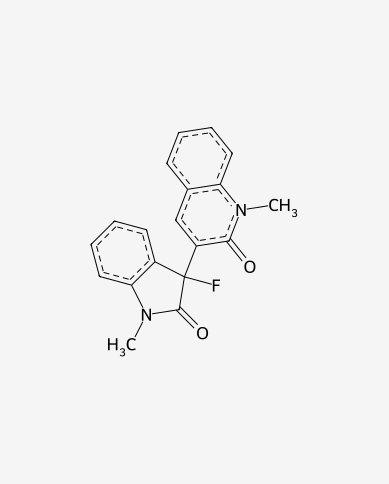 CN1C(=O)C(F)(c2cc3ccccc3n(C)c2=O)c2ccccc21